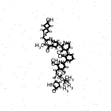 COc1nc(-c2cccc(-c3ccnc(-c4cc5c(=O)n(C)c(CN6CC7(CC(O)C7)C6)nn5c4)c3Cl)c2Cl)ccc1CN(C[C@@H]1CCC(=O)N1)C(=O)OC(C)(C)C